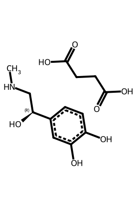 CNC[C@H](O)c1ccc(O)c(O)c1.O=C(O)CCC(=O)O